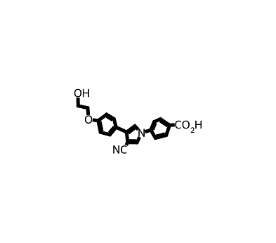 N#Cc1cn(-c2ccc(C(=O)O)cc2)cc1-c1ccc(OCCO)cc1